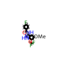 COc1cc(OC(F)F)c2[nH]nc(NC(=O)c3ccc(F)cc3)c2c1